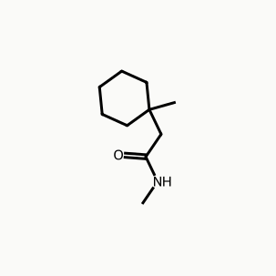 CNC(=O)CC1(C)CCCCC1